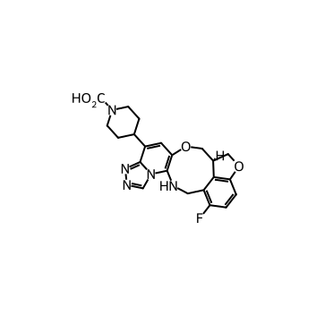 O=C(O)N1CCC(c2cc3c(n4cnnc24)NCc2c(F)ccc4c2[C@@H](CO4)CO3)CC1